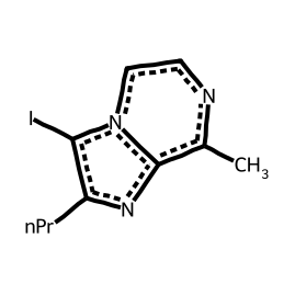 CCCc1nc2c(C)nccn2c1I